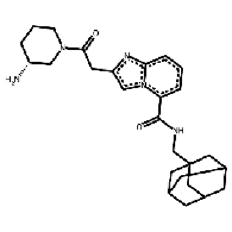 N[C@@H]1CCCN(C(=O)Cc2cn3c(C(=O)NCC45CC6CC(CC(C6)C4)C5)cccc3n2)C1